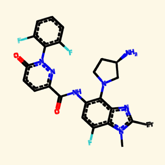 CC(C)c1nc2c(N3CC[C@@H](N)C3)c(NC(=O)c3ccc(=O)n(-c4c(F)cccc4F)n3)cc(F)c2n1C